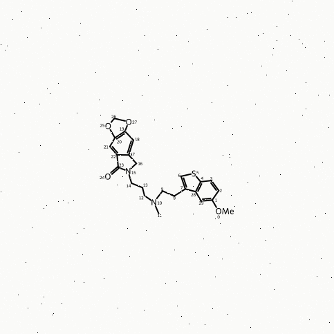 COc1ccc2scc(CCN(C)CCCN3Cc4cc5c(cc4C3=O)OCO5)c2c1